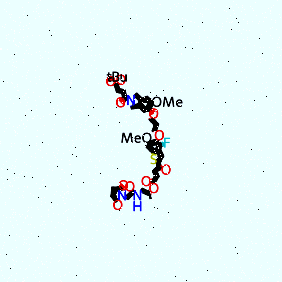 COc1cc2c(cc1OCCCOc1c(OC)cc3sc(C(=O)CCC(=O)O[C@@H](C)CNC(=O)CN4C(=O)C=CC4=O)cc3c1F)CN(C(=O)CCC(=O)OC(C)(C)C)C2